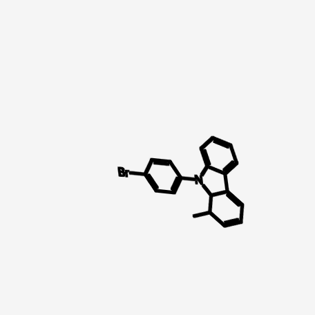 CC1C=CC=C2c3ccccc3N(c3ccc(Br)cc3)C21